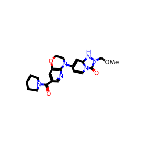 COCN1NC2C=C(N3CCOc4cc(C(=O)N5CCCCC5)cnc43)C=CN2C1=O